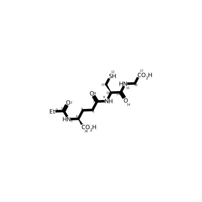 CCC(=O)N[C@@H](CCC(=O)N[C@@H](CS)C(=O)NCC(=O)O)C(=O)O